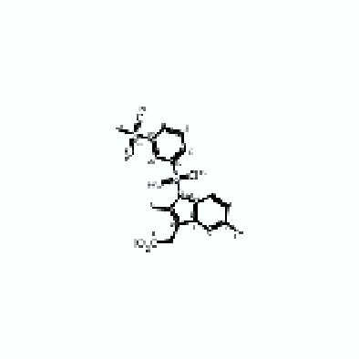 Cc1c(CC(=O)O)c2cc(F)ccc2n1S(=O)(=O)c1cccc(S(C)(=O)=O)c1